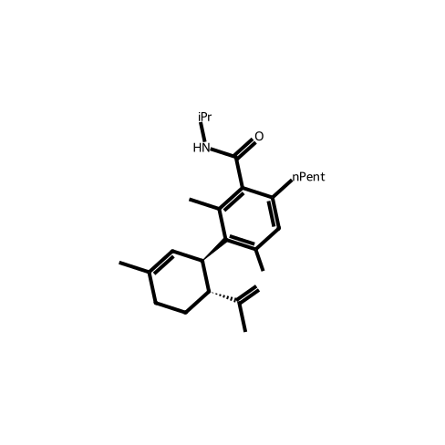 C=C(C)[C@@H]1CCC(C)=C[C@H]1c1c(C)cc(CCCCC)c(C(=O)NC(C)C)c1C